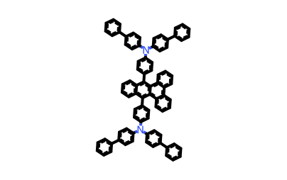 c1ccc(-c2ccc(N(c3ccc(-c4ccccc4)cc3)c3ccc(-c4c5ccccc5c(-c5ccc(N(c6ccc(-c7ccccc7)cc6)c6ccc(-c7ccccc7)cc6)cc5)c5c6ccccc6c6ccccc6c45)cc3)cc2)cc1